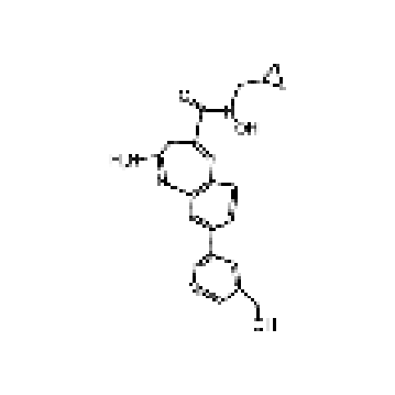 NC1=Nc2cc(-c3cncc(CO)c3)ccc2C=C(C(=O)N(O)CC2CC2)C1